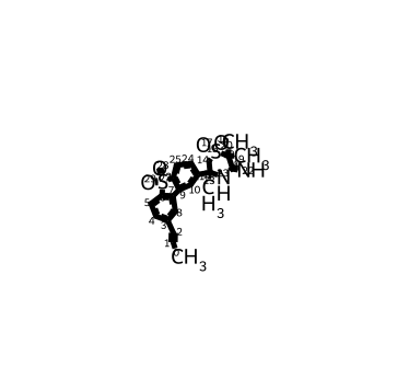 CC#Cc1ccc2c(c1)-c1cc([C@]3(C)CS(=O)(=O)C(C)(C)C(=N)N3)ccc1S2(=O)=O